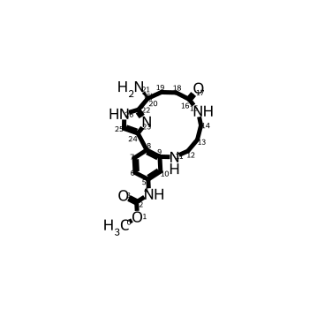 COC(=O)Nc1ccc2c(c1)NCCCNC(=O)CC[C@H](N)c1nc-2c[nH]1